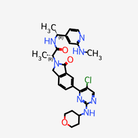 CNc1cc([C@@H](C)NC(=O)[C@@H](C)N2Cc3ccc(-c4nc(NC5CCOCC5)ncc4Cl)cc3C2=O)ccn1